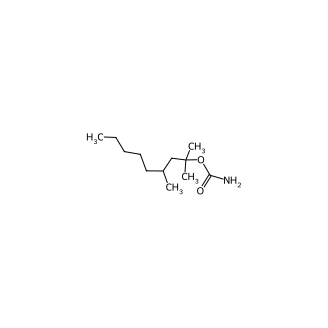 CCCCCC(C)CC(C)(C)OC(N)=O